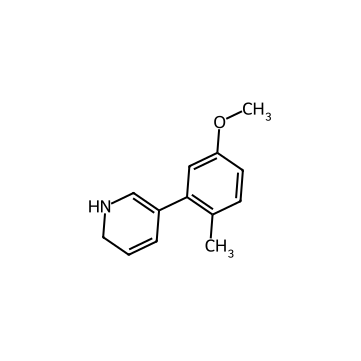 COc1ccc(C)c(C2=CNCC=C2)c1